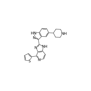 c1csc(-c2nccc3[nH]c(-c4n[nH]c5ccc(C6CCNCC6)cc45)nc23)c1